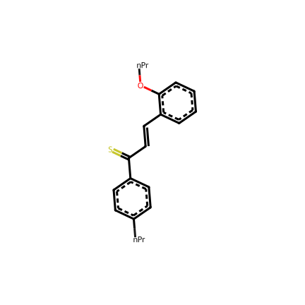 CCCOc1ccccc1C=CC(=S)c1ccc(CCC)cc1